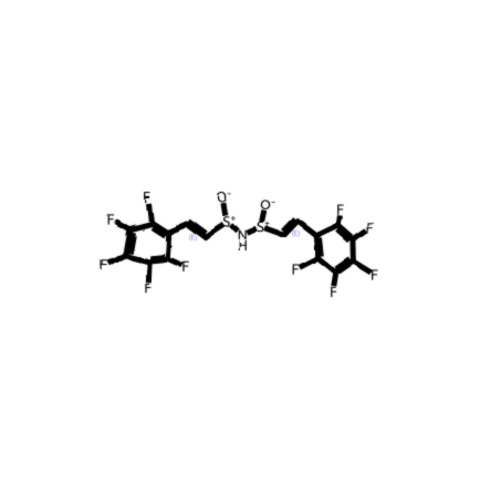 [O-][S+](/C=C/c1c(F)c(F)c(F)c(F)c1F)N[S+]([O-])/C=C/c1c(F)c(F)c(F)c(F)c1F